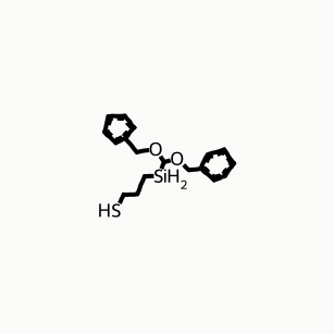 SCCC[SiH2]C(OCc1ccccc1)OCc1ccccc1